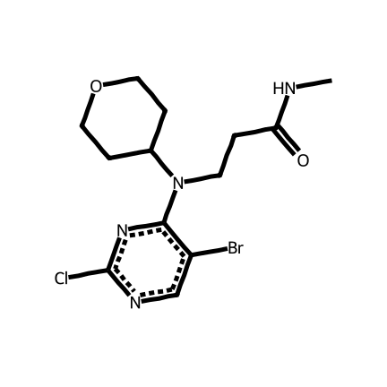 CNC(=O)CCN(c1nc(Cl)ncc1Br)C1CCOCC1